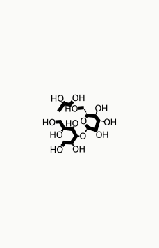 CC(O)CO.OC[C@@H](O)[C@@H](O[C@@H]1O[C@H](CO)[C@H](O)[C@H](O)[C@H]1O)[C@H](O)[C@@H](O)CO